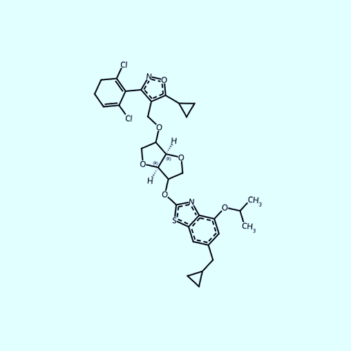 CC(C)Oc1cc(CC2CC2)cc2sc(OC3CO[C@@H]4C(OCc5c(C6=C(Cl)CCC=C6Cl)noc5C5CC5)CO[C@H]34)nc12